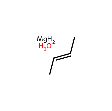 CC=CC.O.[MgH2]